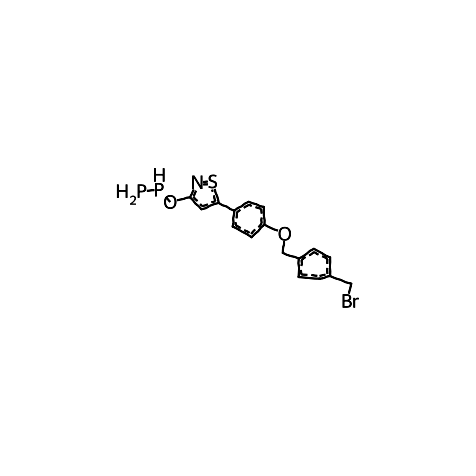 PPOc1cc(-c2ccc(OCc3ccc(CBr)cc3)cc2)sn1